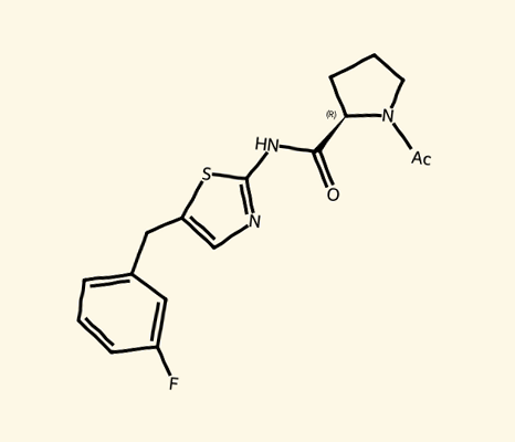 CC(=O)N1CCC[C@@H]1C(=O)Nc1ncc(Cc2cccc(F)c2)s1